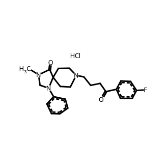 CN1CN(c2ccccc2)C2(CCN(CCCC(=O)c3ccc(F)cc3)CC2)C1=O.Cl